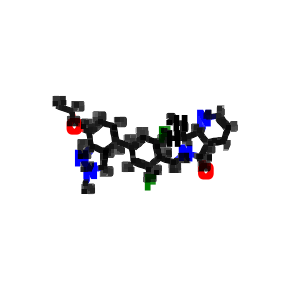 [2H]C1([2H])c2ncccc2C(=O)N1Cc1c(F)cc(-c2ccc(OCC)c3nn(C)cc23)cc1F